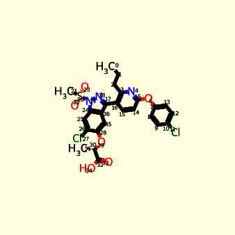 CCCc1nc(Oc2ccc(Cl)cc2)ccc1-c1nn(S(C)(=O)=O)c2cc(Cl)c(O[C@@H](C)C(=O)O)cc12